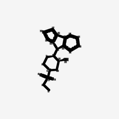 CCS(=O)(=O)N1CC[C@@H]([C@@H]2c3ccccc3-c3cncn32)[C@H](O)C1